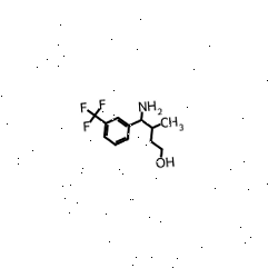 CC(CCO)C(N)c1cccc(C(F)(F)F)c1